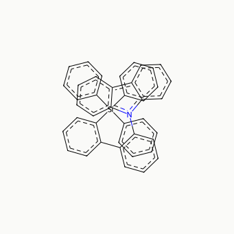 c1ccc([Si](c2ccccc2)(c2ccccc2)c2ccccc2-c2ccccc2-n2c3ccccc3c3ccccc32)cc1